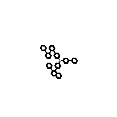 c1ccc(-c2ccc(N(c3ccc(-c4ccccc4-c4ccccc4-c4ccccc4)cc3)c3ccc(-c4c(-c5ccccc5)ccc5ccccc45)cc3)cc2)cc1